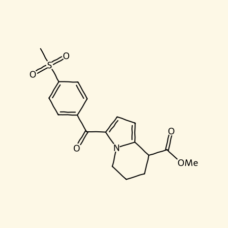 COC(=O)C1CCCn2c(C(=O)c3ccc(S(C)(=O)=O)cc3)ccc21